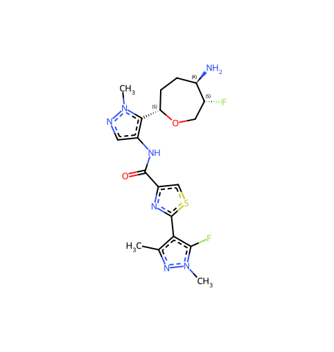 Cc1nn(C)c(F)c1-c1nc(C(=O)Nc2cnn(C)c2[C@@H]2CC[C@@H](N)[C@H](F)CO2)cs1